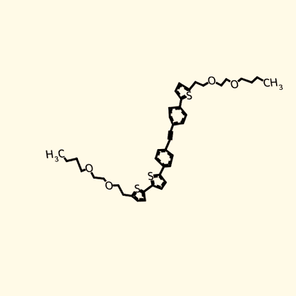 CCCCOCCOCCc1ccc(-c2ccc(C#Cc3ccc(-c4ccc(-c5ccc(CCOCCOCCCC)s5)s4)cc3)cc2)s1